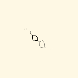 CCCCCC1CCC(c2ccc(CCC=O)cc2)CC1